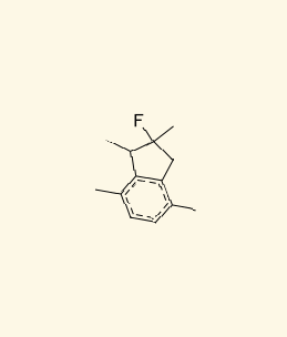 Cc1ccc(C)c2c1CC(C)(F)C2C